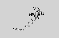 CCCCCCCCCCCCCCCCCc1nc(C(N)CC)c[nH]1